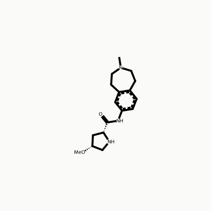 CO[C@H]1CN[C@@H](C(=O)Nc2ccc3c(c2)CCN(C)CC3)C1